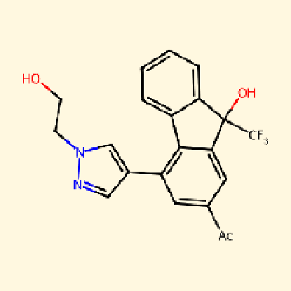 CC(=O)c1cc(-c2cnn(CCO)c2)c2c(c1)C(O)(C(F)(F)F)c1ccccc1-2